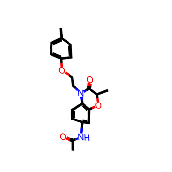 CC(=O)Nc1ccc2c(c1)OC(C)C(=O)N2CCOc1ccc(C)cc1